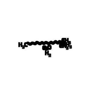 CCCCCCCCCCCCCCCC[N+](C)(C)C.O=[PH2][O-]